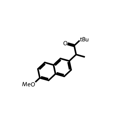 COc1ccc2cc(C(C)C(=O)C(C)(C)C)ccc2c1